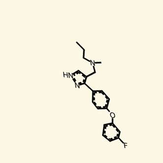 CCCN(C)Cc1c[nH]nc1-c1ccc(Oc2cccc(F)c2)cc1